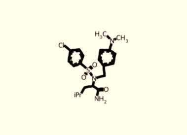 CC(C)CC(C(N)=O)N(Cc1ccc(N(C)C)cc1)S(=O)(=O)c1ccc(Cl)cc1